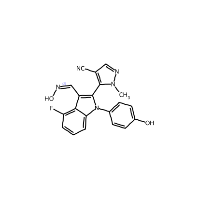 Cn1ncc(C#N)c1-c1c(/C=N\O)c2c(F)cccc2n1-c1ccc(O)cc1